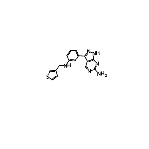 Nc1ncc2c(-c3cccc(NCc4ccsc4)c3)n[nH]c2n1